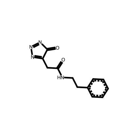 O=C(CC1=NN=NC1=O)NCCc1ccccc1